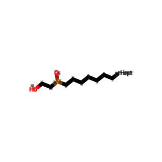 CCCCCCCCCCCCCC[S+]([O-])CCO